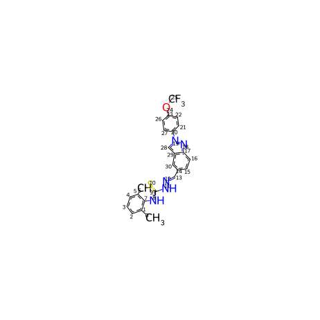 Cc1cccc(C)c1NC(=S)NN=Cc1ccc2nn(-c3ccc(OC(F)(F)F)cc3)cc2c1